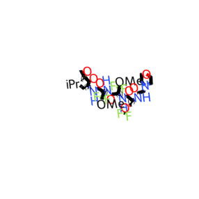 COC(F)(F)[C@@H](NC(=O)[C@H](COC(F)F)NC(=O)CN1CCOCC1)C(=O)N[C@@H](C(=O)N[C@@H](CC(C)C)C(=O)[C@@]1(C)CO1)C(F)(F)OC